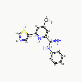 Cc1cc(C(=N)Nc2ccccc2)nc(-c2cncs2)c1